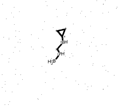 BPCBC1CC1